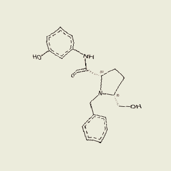 O=C(Nc1cccc(O)c1)[C@@H]1CC[C@H](CO)N1Cc1ccccc1